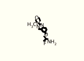 CC1COCCN1c1ncc2cc(OC/C(=C/F)CN)ccc2n1